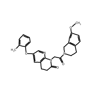 COc1ccc2c(c1)CN(C(=O)CN1C(=O)CCc3cc(Oc4ccccc4C)cnc31)CC2